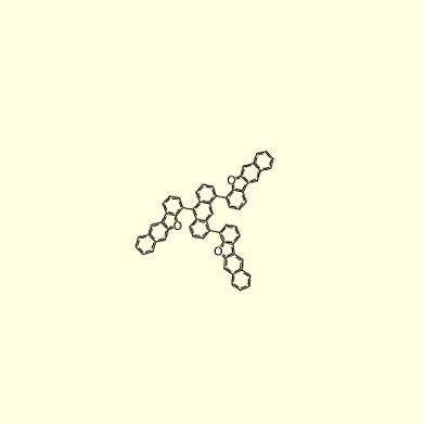 c1ccc2cc3c(cc2c1)oc1c(-c2cccc4c(-c5cccc6c5oc5cc7ccccc7cc56)c5cccc(-c6cccc7c6oc6cc8ccccc8cc67)c5cc24)cccc13